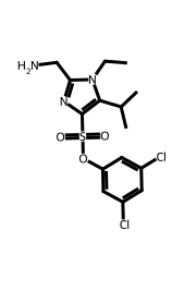 CCn1c(CN)nc(S(=O)(=O)Oc2cc(Cl)cc(Cl)c2)c1C(C)C